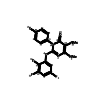 CNc1nc(Oc2cc(F)cc(F)c2F)n(-c2ccc(F)cc2)c(=O)c1NC